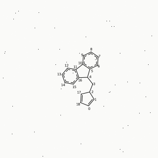 C1=CC(CC2c3ccccc3-c3ccccc32)C=C1